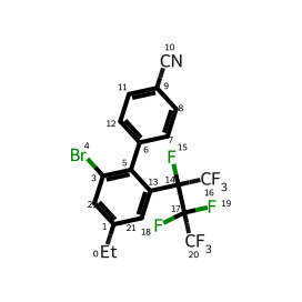 CCc1[c]c(Br)c(-c2ccc(C#N)cc2)c(C(F)(C(F)(F)F)C(F)(F)C(F)(F)F)c1